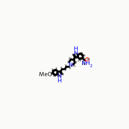 COc1ccc2c(CCCCN3CCC(c4c[nH]c5ccc(C(N)=O)cc45)CC3)c[nH]c2c1